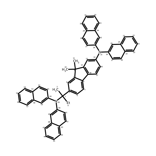 CCC(C)(c1ccc2c(c1)C(C)(C)c1cc(N(c3ccc4ccccc4c3)c3ccc4ccccc4c3)ccc1-2)N(c1ccc2ccccc2c1)c1ccc2ccccc2c1